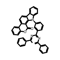 C=C(/N=C(\N=C(/C)c1ccccc1)c1cccc(-n2c3ccccc3c3ccc4c5ccccc5oc(=O)c4c32)c1)c1ccccc1